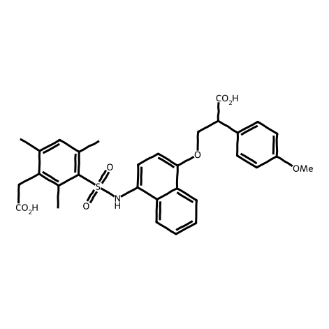 COc1ccc(C(COc2ccc(NS(=O)(=O)c3c(C)cc(C)c(CC(=O)O)c3C)c3ccccc23)C(=O)O)cc1